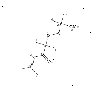 C=C(N=C(C)C)C(C)(C)OCC(C)(C)OC